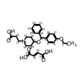 CCOc1ccc(C(OC2CCN(CCC(=O)O)CC2)c2ccccc2)cc1.O=C(O)C=CC(=O)O